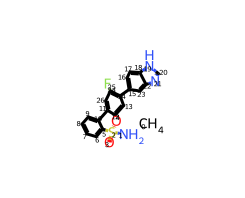 C.NS(=O)(=O)c1ccccc1-c1ccc(-c2ccc3[nH]cnc3c2)c(F)c1